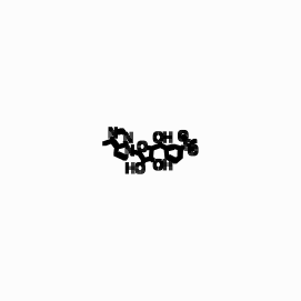 Cc1ncnc2c1ccn2C1OC(C(O)c2cccc(S(C)(=O)=O)c2)C(O)C1O